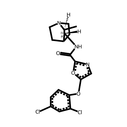 C[C@H]1[C@H](NC(=O)c2ncc(Oc3ccc(Cl)cc3Cl)o2)C2CCN1CC2